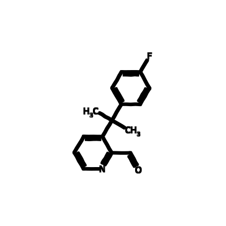 CC(C)(c1ccc(F)cc1)c1cccnc1C=O